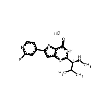 CN[C@H](c1nc2cc(-c3ccnc(F)c3)sc2c(=O)[nH]1)C(C)C.Cl